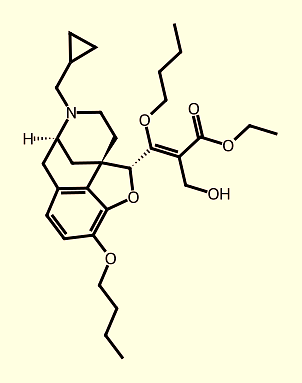 CCCCO/C(=C(/CO)C(=O)OCC)[C@@H]1Oc2c(OCCCC)ccc3c2[C@@]12CCN(CC1CC1)[C@H](C3)C2